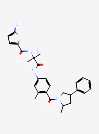 Cc1cc(NC(=O)C(C)(C)NC(=O)c2ccc(N)s2)ccc1C(=O)N1CC(c2ccccc2)CC1C